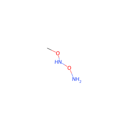 CONON